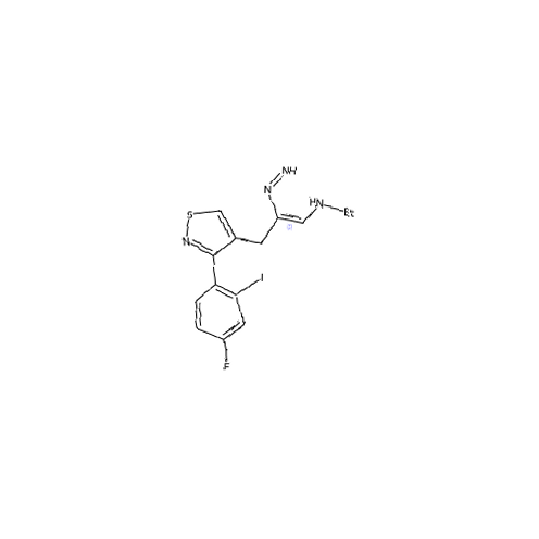 CCN/C=C(/Cc1csnc1-c1ccc(F)cc1I)N=N